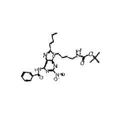 CCCCc1nc2c(NC(=O)c3ccccc3)nc([N+](=O)[O-])nc2n1CCCCNC(=O)OC(C)(C)C